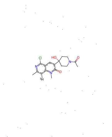 [2H]c1c(C)nc(Cl)c2cc(C3(O)CCN(C(C)=O)CC3)c(=O)n(C)c12